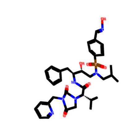 CC(C)CN(C[C@@H](O)[C@H](Cc1ccccc1)NC(=O)[C@H](C(C)C)N1CC(=O)N(Cc2ccccn2)C1=O)S(=O)(=O)c1ccc(C=NO)cc1